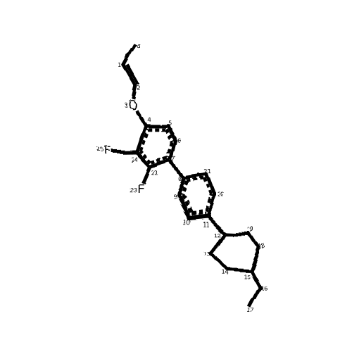 C/C=C/Oc1ccc(-c2ccc(C3CCC(CC)CC3)cc2)c(F)c1F